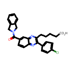 O=C(O)CCCCc1nc2cc(C(=O)N3Cc4ccccc4C3)ccc2nc1-c1ccc(Cl)cc1